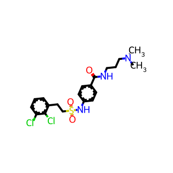 CN(C)CCCNC(=O)c1ccc(NS(=O)(=O)CCc2cccc(Cl)c2Cl)cc1